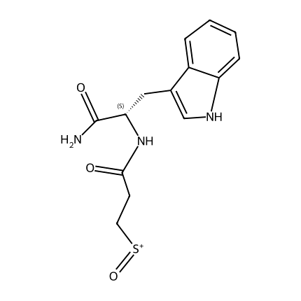 NC(=O)[C@H](Cc1c[nH]c2ccccc12)NC(=O)CC[S+]=O